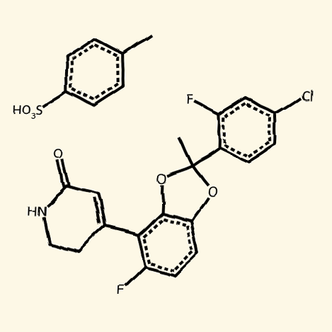 CC1(c2ccc(Cl)cc2F)Oc2ccc(F)c(C3=CC(=O)NCC3)c2O1.Cc1ccc(S(=O)(=O)O)cc1